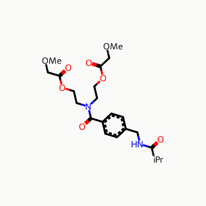 COCC(=O)OCCN(CCOC(=O)COC)C(=O)c1ccc(CNC(=O)C(C)C)cc1